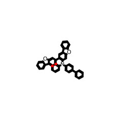 c1ccc(-c2ccc(N(c3ccccc3)c3cc4oc5ccccc5c4cc3-c3ccc4c(c3)oc3ccccc34)cc2)cc1